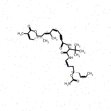 C/C=C\C[C@@H](C/C=C\NC(=O)[C@@H](NC(=O)C#C/C=C\C(C)=C\[C@H](C)[C@@H]1CC=C(C)C(=O)O1)C(C)(C)C)OC(N)=O